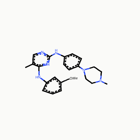 COc1cccc(Nc2nc(Nc3ccc(N4CCN(C)CC4)cc3)ncc2C)c1